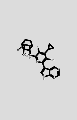 N#Cc1c(-c2c[nH]c3ncncc23)nc(NC2C3CCC(CC3)[C@H]2C(=O)O)c(F)c1C1CC1